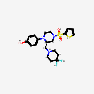 O=S(=O)(c1cccs1)N1CCN(c2ccc(O)cc2)[C@H](CN2CCC(F)(F)CC2)C1